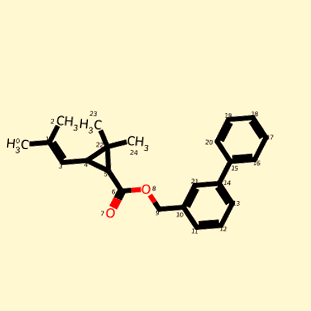 CC(C)=CC1C(C(=O)OCc2cccc(-c3ccccc3)c2)C1(C)C